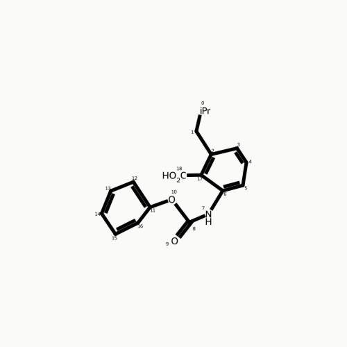 CC(C)Cc1cccc(NC(=O)Oc2ccccc2)c1C(=O)O